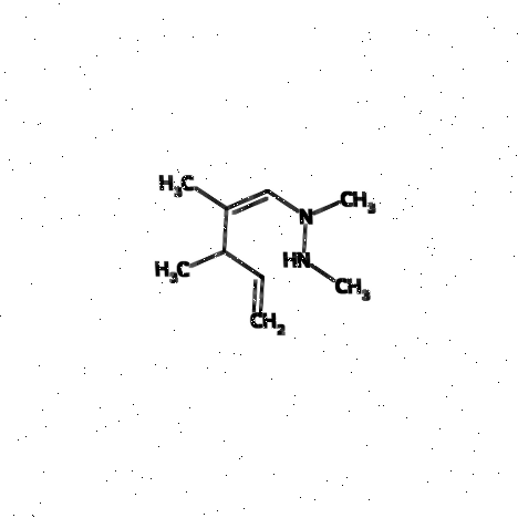 C=CC(C)/C(C)=C\N(C)NC